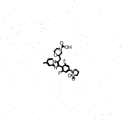 Cc1ccn2c(CC3CN(C(=O)O)CCO3)c(-c3c(F)cc(N4CCCS4(=O)=O)cc3F)nc2c1